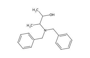 CC(O)C(C)N(Cc1ccccc1)Cc1ccccc1